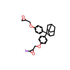 IC1OC1COc1ccc(C2(c3ccc(OCC4CO4)cc3)C3CC4CC(C3)CC2C4)cc1